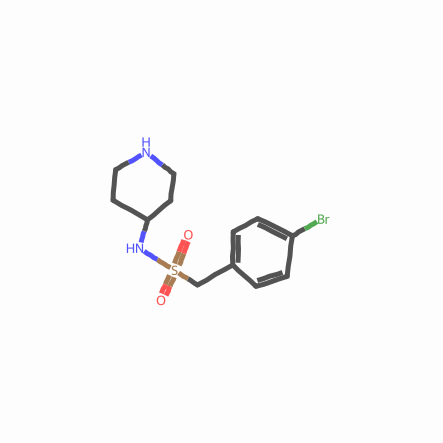 O=S(=O)(Cc1ccc(Br)cc1)NC1CCNCC1